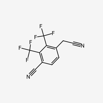 N#CCc1ccc(C#N)c(C(F)(F)F)c1C(F)(F)F